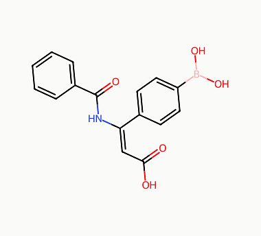 O=C(O)C=C(NC(=O)c1ccccc1)c1ccc(B(O)O)cc1